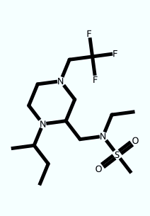 CCC(C)N1CCN(CC(F)(F)F)CC1CN(CC)S(C)(=O)=O